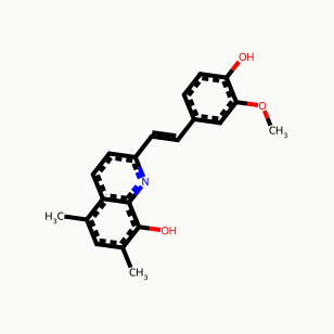 COc1cc(C=Cc2ccc3c(C)cc(C)c(O)c3n2)ccc1O